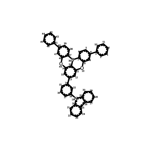 c1ccc(-c2ccc3c(c2)Oc2cc(-c4cccc(-n5c6ccccc6c6ccccc65)c4)cc4c2B3c2ccc(-c3ccccc3)cc2O4)cc1